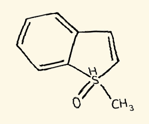 C[SH]1(=O)C=Cc2ccccc21